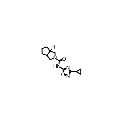 O=C(Nc1nc(C2CC2)no1)N1CC2CCC[C@@H]2C1